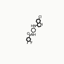 Cc1ccc(C(=O)N[C@H]2CC[C@@H](Nc3ccnc4cc(Cl)ccc34)CC2)cc1F